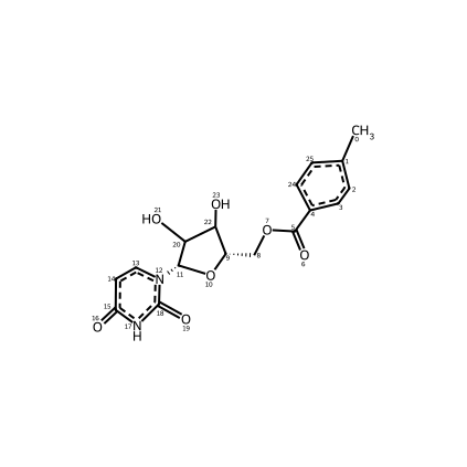 Cc1ccc(C(=O)OC[C@@H]2O[C@H](n3ccc(=O)[nH]c3=O)C(O)C2O)cc1